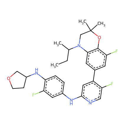 CCC(C)N1CC(C)(C)Oc2c(F)cc(-c3cc(Nc4ccc(NC5CCOC5)c(F)c4)ncc3F)cc21